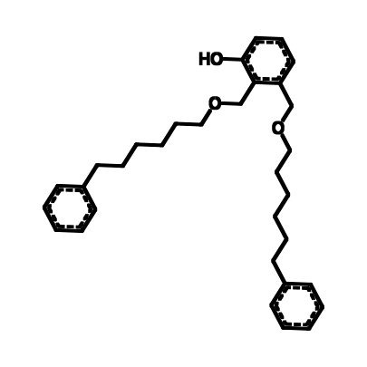 Oc1cccc(COCCCCCCc2ccccc2)c1COCCCCCCc1ccccc1